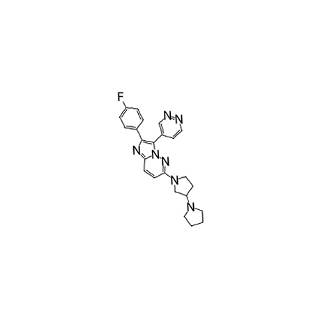 Fc1ccc(-c2nc3ccc(N4CCC(N5CCCC5)C4)nn3c2-c2ccnnc2)cc1